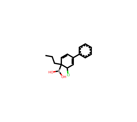 CCCC1(B(O)O)C=CC(c2ccccc2)=CC1Cl